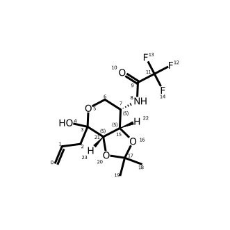 C=CCC1(O)OC[C@H](NC(=O)C(F)(F)F)[C@@H]2OC(C)(C)O[C@@H]21